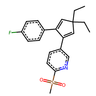 CCC1(CC)C=C(c2ccc(F)cc2)C(c2ccc(S(C)(=O)=O)nc2)=C1